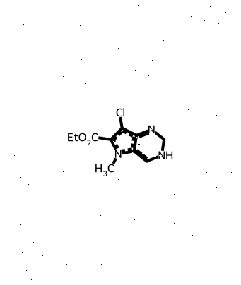 CCOC(=O)c1c(Cl)c2c(n1C)=CNCN=2